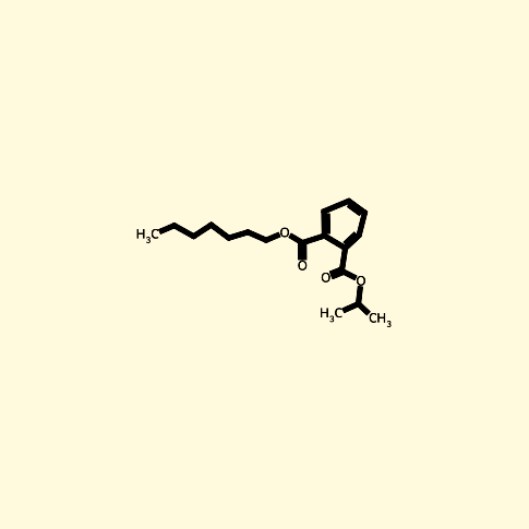 CCCCCCCOC(=O)c1ccccc1C(=O)OC(C)C